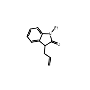 C=CCC1C(=O)N(CC)c2ccccc21